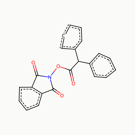 O=C(ON1C(=O)c2ccccc2C1=O)C(c1ccccc1)c1ccccc1